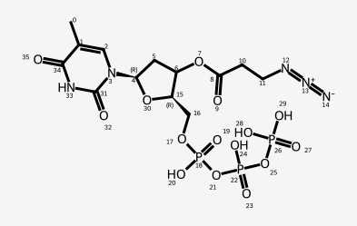 Cc1cn([C@H]2CC(OC(=O)CCN=[N+]=[N-])[C@@H](COP(=O)(O)OP(=O)(O)OP(=O)(O)O)O2)c(=O)[nH]c1=O